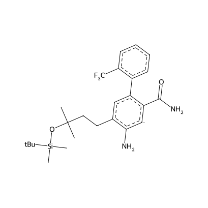 CC(C)(CCc1cc(-c2ccccc2C(F)(F)F)c(C(N)=O)[c]c1N)O[Si](C)(C)C(C)(C)C